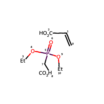 C=CC(=O)O.CCOP(=O)(CC(=O)O)OCC